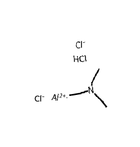 CN(C)C.Cl.[Al+2].[Cl-].[Cl-]